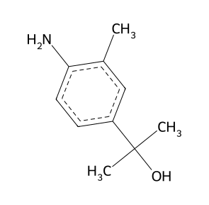 Cc1cc(C(C)(C)O)ccc1N